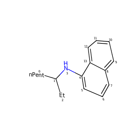 CCCCCC(CC)Nc1cccc2ccccc12